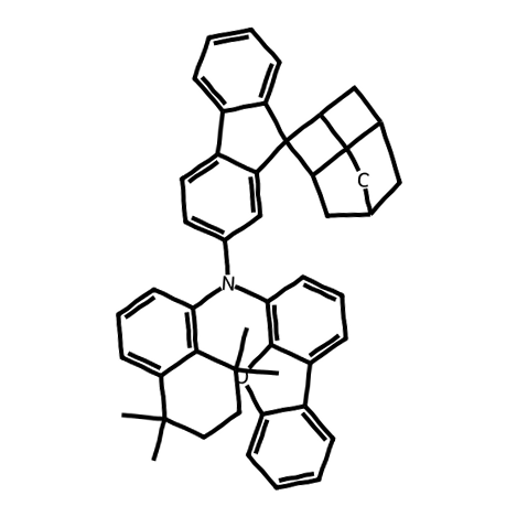 CC1(C)CCC(C)(C)c2c(N(c3ccc4c(c3)C3(c5ccccc5-4)C4CC5CC6CC3C64C5)c3cccc4c3oc3ccccc34)cccc21